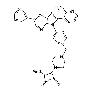 COc1c(N2CCN(Cc3ccc(-n4c(-c5cccnc5N)nc5cc(-c6ccccc6)cnc54)cc3)CC2)c(=O)c1=O